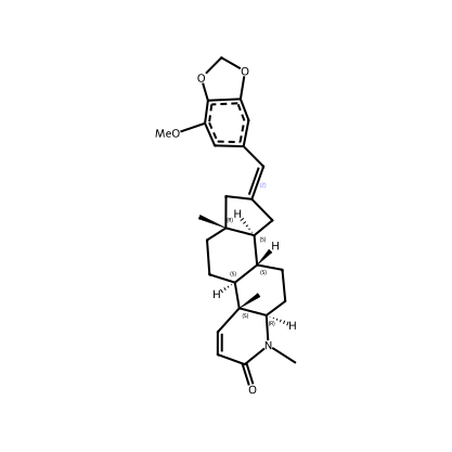 COc1cc(/C=C2/C[C@H]3[C@@H]4CC[C@H]5N(C)C(=O)C=C[C@]5(C)[C@H]4CC[C@]3(C)C2)cc2c1OCO2